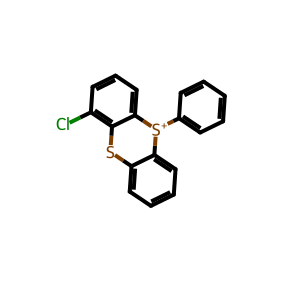 Clc1cccc2c1Sc1ccccc1[S+]2c1ccccc1